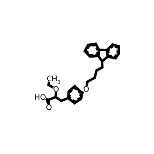 CCOC(Cc1ccc(OCCCCC2c3ccccc3-c3ccccc32)cc1)C(=O)O